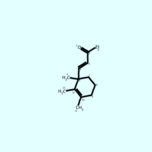 CCC(=O)C=CC1(C)CCCC(C)=C1C